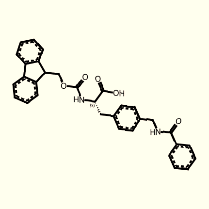 O=C(N[C@@H](Cc1ccc(CNC(=O)c2ccccc2)cc1)C(=O)O)OCC1c2ccccc2-c2ccccc21